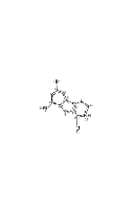 Cc1cc(Br)cc2c1cc1c(=O)[nH]ccn12